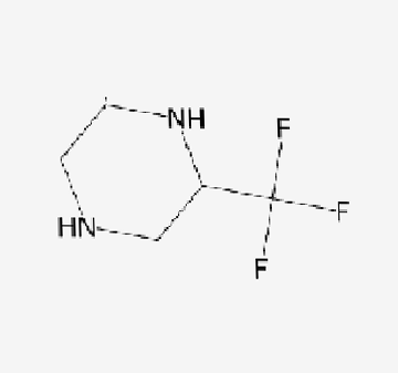 FC(F)(F)C1CNC[CH]N1